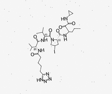 CCCC(NC(=O)[C@@H]1CC(I)CN1C(=O)[C@@H](NC(=O)[C@H](NC(=O)CCCCc1nnn[nH]1)C(C)C)C(C)C)C(=O)C(=O)NC1CC1